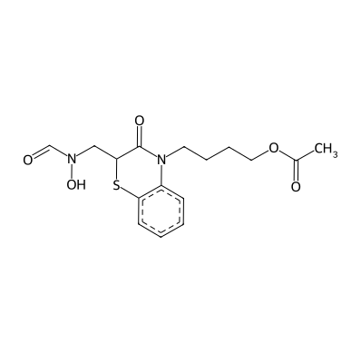 CC(=O)OCCCCN1C(=O)C(CN(O)C=O)Sc2ccccc21